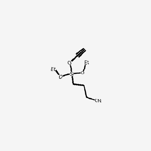 C#CO[Si](CCCC#N)(OCC)OCC